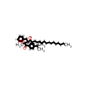 CCCCCCCCCCCCCCCC(=O)C(C)(Cc1ccccc1)C(C)(O)C(=O)c1ccc(C(C)C)cc1